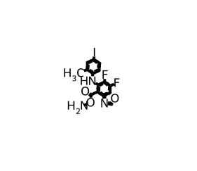 Cc1cc(I)ccc1Nc1c(F)c(F)c2ocnc2c1C(=O)ON